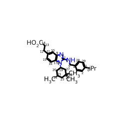 CC(C)c1ccc(CNc2nc3cc(CCC(=O)O)ccc3n2[C@@H]2C[C@H](C)CC(C)(C)C2)cc1